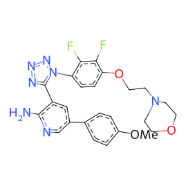 COc1ccc(-c2cnc(N)c(-c3nnnn3-c3ccc(OCCN4CCOCC4)c(F)c3F)c2)cc1